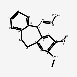 COc1cc2c(cc1OC)[C@@H](C=NO)c1ccccc1CC2